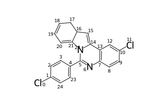 Clc1ccc(C2=Nc3ccc(Cl)cc3C3=CC4CC=CC=C4N32)cc1